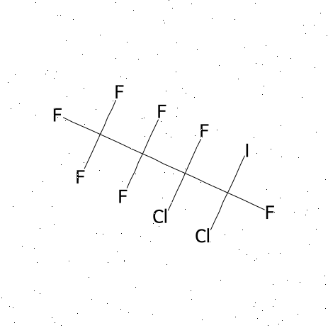 FC(F)(F)C(F)(F)C(F)(Cl)C(F)(Cl)I